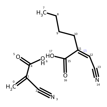 C=C(C#N)C(=O)O.CCCC/C(=C/C#N)C(=O)O